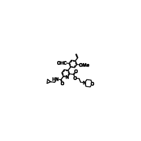 C=Cc1cc(C=O)c(-c2ccc(C(=O)NCC3CC3)nc2C(=O)OCCN2CCOCC2)cc1OC